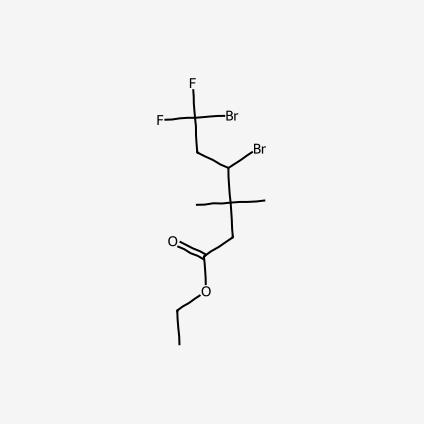 CCOC(=O)CC(C)(C)C(Br)CC(F)(F)Br